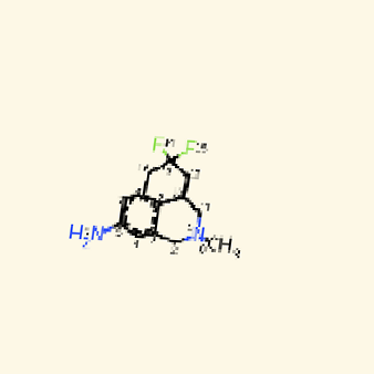 CN1Cc2cc(N)cc3c2C(C1)CC(F)(F)C3